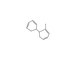 IC1=CC=CCC1C1C=CC=CC1